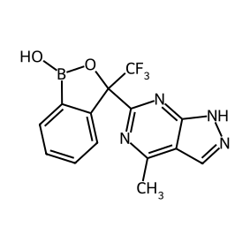 Cc1nc(C2(C(F)(F)F)OB(O)c3ccccc32)nc2[nH]ncc12